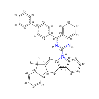 CC1(C)C2=Cc3c(c4ccccc4n3-c3nc(-c4ccc(-c5ccccc5)cc4)c4c(n3)=CCCC=4)CC2C2C=CC=CC21